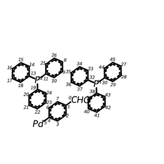 O=Cc1cc[c]([Pd])cc1.c1ccc(P(c2ccccc2)c2ccccc2)cc1.c1ccc(P(c2ccccc2)c2ccccc2)cc1